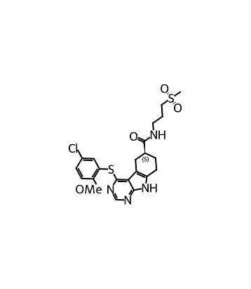 COc1ccc(Cl)cc1Sc1ncnc2[nH]c3c(c12)C[C@@H](C(=O)NCCCS(C)(=O)=O)CC3